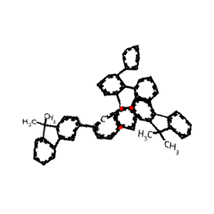 CC1(C)c2ccccc2-c2cc(-c3cccc(N(c4ccc5c(c4)C(C)(C)c4ccccc4-5)c4cccc(-c5ccccc5)c4-c4ccccc4-c4ccccc4)c3)ccc21